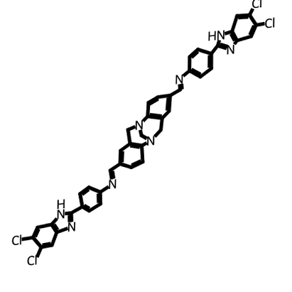 Clc1cc2nc(-c3ccc(/N=C/c4ccc5c(c4)CN4CN5Cc5cc(/C=N/c6ccc(-c7nc8cc(Cl)c(Cl)cc8[nH]7)cc6)ccc54)cc3)[nH]c2cc1Cl